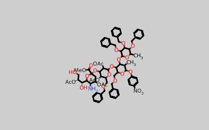 COC(=O)C1(OC2C(OC(C)=O)C(COCc3ccccc3)OC(OC3C(COCc4ccccc4)OC(Oc4ccc([N+](=O)[O-])cc4)C(C)C3OC3OC(C)C(OCc4ccccc4)C(OCc4ccccc4)C3OCc3ccccc3)C2OC(C)=O)CC(OC(C)=O)C(N)C([C@H](O)[C@@H](CO)OC(C)=O)O1